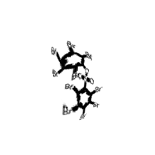 O=S(=O)(Oc1c(Br)c(Br)c(Br)c(Br)c1Br)c1c(Br)c(Br)c(Br)c(Br)c1Br